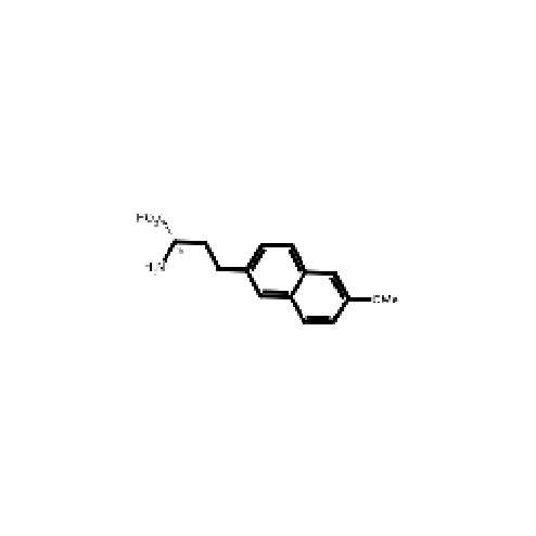 COc1ccc2cc(CC[C@H](N)C(=O)O)ccc2c1